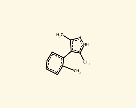 Cc1cc[c]cc1-c1c(C)n[nH]c1C